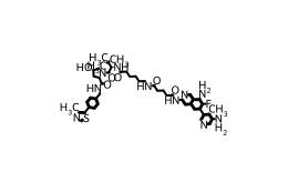 Cc1ncsc1-c1ccc(CNC(=O)C2C[C@@H](O)CN2C(=O)[C@@H](NC(=O)CCCCCNC(=O)CCCC(=O)Nc2cc3cc(-c4cncc(N)c4C)c(F)c(N)c3cn2)C(C)(C)C)cc1